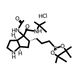 CC(=O)NC1(C(=O)NC(C)(C)C)[C@H](CCCB2OC(C)(C)C(C)(C)O2)C[C@H]2NCC[C@H]21.Cl